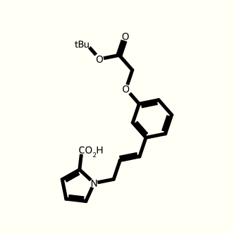 CC(C)(C)OC(=O)COc1cccc(C=CCn2cccc2C(=O)O)c1